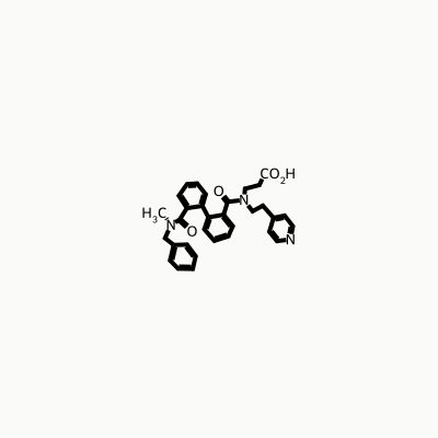 CN(Cc1ccccc1)C(=O)c1ccccc1-c1ccccc1C(=O)N(CCC(=O)O)CCc1ccncc1